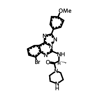 COc1ccc(-c2nc3c4cccc(Br)c4nc(N[C@H](C)C(=O)N4CCNCC4)n3n2)cc1